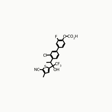 Cc1cc(C(O)(C(C)c2ccc(-c3ccc(OC(=O)O)c(F)c3)cc2Cl)C(F)(F)F)sc1C#N